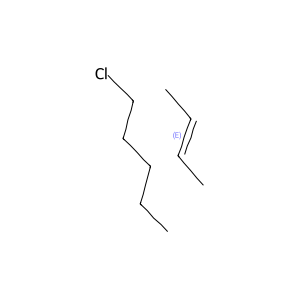 C/C=C/C.CCCCCCl